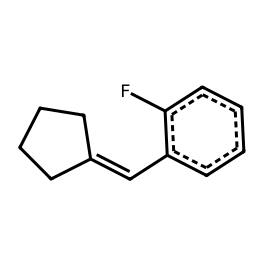 Fc1ccccc1C=C1CCCC1